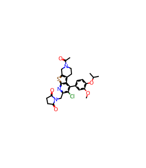 COc1cc(-c2c(Cl)c(CN3C(=O)CCC3=O)nc3sc4c(c23)CCN(C(C)=O)C4)ccc1OC(C)C